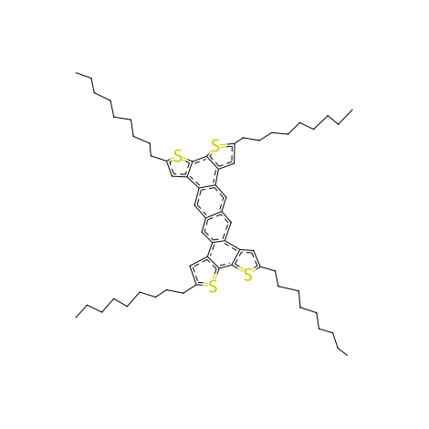 CCCCCCCCCc1cc2c3cc4cc5c(cc4cc3c3cc(CCCCCCCCC)sc3c2s1)c1cc(CCCCCCCCC)sc1c1sc(CCCCCCCCC)cc51